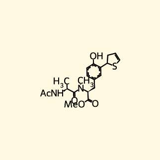 COC(=O)[C@H](Cc1ccc(O)c(C2CC=CS2)c1)N(C)C(=O)[C@H](C)NC(C)=O